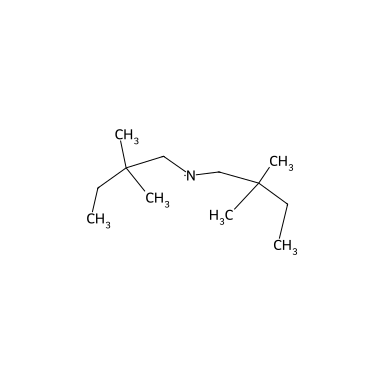 CCC(C)(C)C[N]CC(C)(C)CC